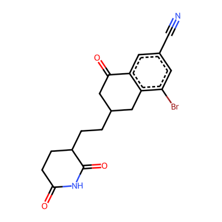 N#Cc1cc(Br)c2c(c1)C(=O)CC(CCC1CCC(=O)NC1=O)C2